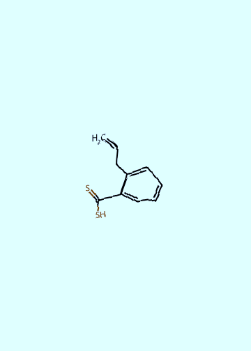 C=CCc1ccccc1C(=S)S